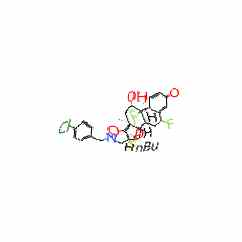 CCCCSC(=O)[C@@]12ON(Cc3ccc(Cl)cc3)C[C@@H]1C[C@H]1[C@@H]3C[C@H](F)C4=CC(=O)C=C[C@]4(C)[C@@]3(F)[C@@H](O)C[C@@]12C